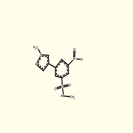 CNS(=O)(=O)c1cc(-c2cnn(C)c2)cc([N+](=O)[O-])c1